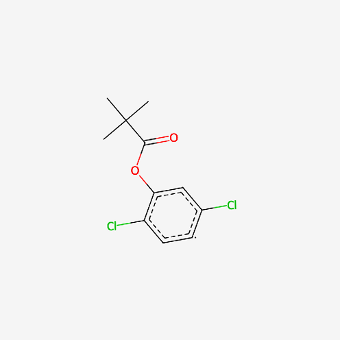 CC(C)(C)C(=O)Oc1cc(Cl)[c]cc1Cl